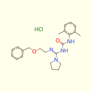 Cc1cccc(C)c1NC(=O)NC(=NCCOCc1ccccc1)N1CCCC1.Cl